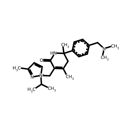 CC1=N[N+](CC2=C(C)CC(C)(c3ccc(CN(C)C)cc3)NC2=O)(C(C)C)C=C1